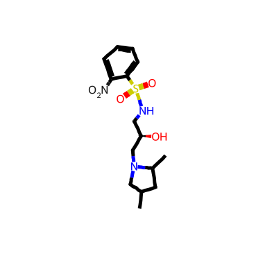 CC1CC(C)N(C[C@H](O)CNS(=O)(=O)c2ccccc2[N+](=O)[O-])C1